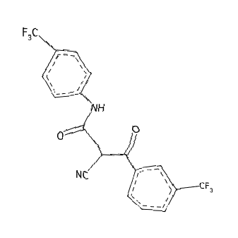 N#CC(C(=O)Nc1ccc(C(F)(F)F)cc1)C(=O)c1cccc(C(F)(F)F)c1